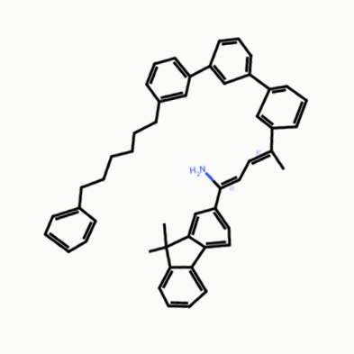 C/C(=C\C=C(/N)c1ccc2c(c1)C(C)(C)c1ccccc1-2)c1cccc(-c2cccc(-c3cccc(CCCCCCc4ccccc4)c3)c2)c1